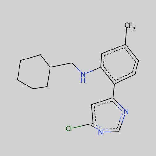 FC(F)(F)c1ccc(-c2cc(Cl)ncn2)c(NCC2CCCCC2)c1